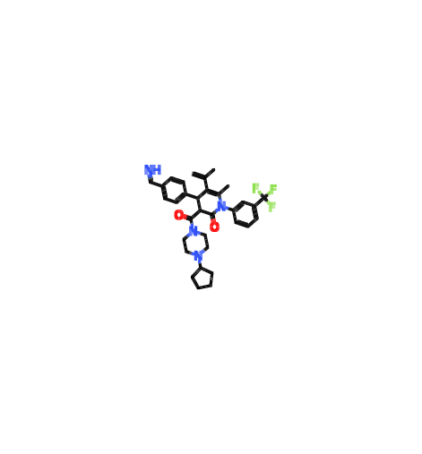 C=C(C)C1=C(C)N(c2cccc(C(F)(F)F)c2)C(=O)C(C(=O)N2CCN(C3CCCC3)CC2)C1c1ccc(C=N)cc1